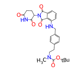 CN(CCc1ccc(CNc2cccc3c2C(=O)N(C2CCC(=O)NC2=O)C3=O)cc1)C(=O)OC(C)(C)C